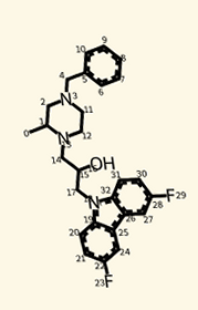 CC1CN(Cc2ccccc2)CCN1CC(O)Cn1c2ccc(F)cc2c2cc(F)ccc21